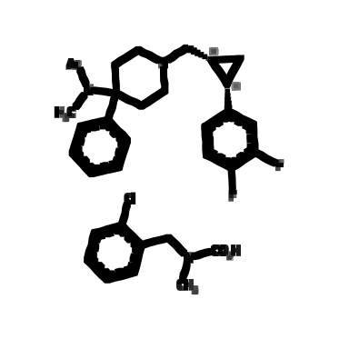 CC(=O)N(C)C1(c2ccccc2)CCN(C[C@@H]2C[C@@H]2c2ccc(F)c(F)c2)CC1.CN(Cc1ccccc1Cl)C(=O)O